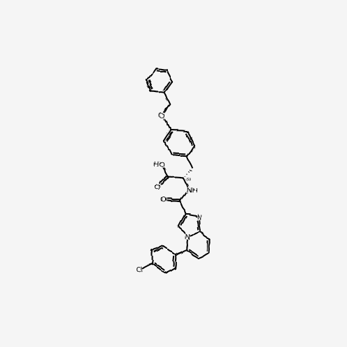 O=C(N[C@@H](Cc1ccc(OCc2ccccc2)cc1)C(=O)O)c1cn2c(-c3ccc(Cl)cc3)cccc2n1